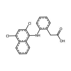 O=C(O)Cc1ccccc1Nc1c(Cl)cc(Cl)c2ccccc12